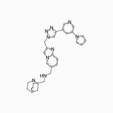 c1ccn(-c2cncc(-c3cn(Cc4cn5cc(CNCC6CC7CCN6CC7)ccc5n4)nn3)c2)c1